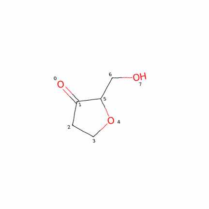 O=C1CCOC1CO